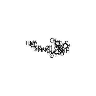 O=C(CNC(=O)c1ccc(S(=O)(=O)Nc2ccccc2Oc2ccc(Cl)cc2Cl)cc1)NCCCCC1CCNCC1